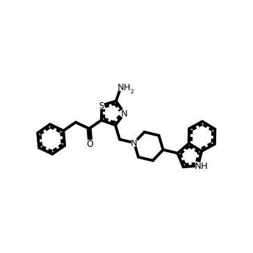 Nc1nc(CN2CCC(c3c[nH]c4ccccc34)CC2)c(C(=O)Cc2ccccc2)s1